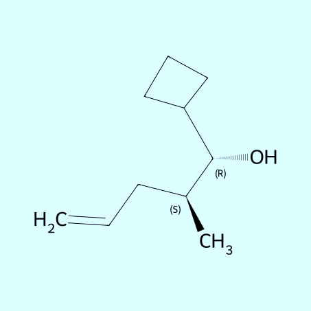 C=CC[C@H](C)[C@@H](O)C1CCC1